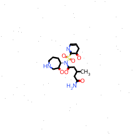 CC(CC(N)=O)CC(=O)N([C@H]1CCCNCC1=O)S(=O)(=O)C1=NC=CCC1=O